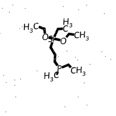 CCO[Si](CC)(CCCP(C)CC)OCC